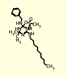 CCCCCCCCCCNC1=NC(C)(C)NC(NCc2ccccc2)(OS(C)(=O)=O)N1